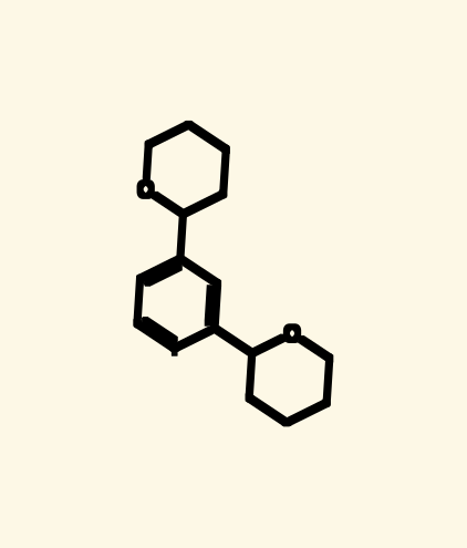 [c]1ccc(C2CCCCO2)cc1C1CCCCO1